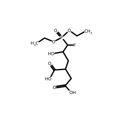 CCOP(=O)(OCC)C(F)C(O)CC(CC(=O)O)C(=O)O